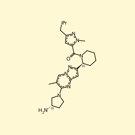 Cc1cn2nc([C@@H]3CCCCN3C(=O)c3cc(CC(C)C)nn3C)cc2nc1N1CC[C@H](N)C1